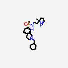 C=S(=O)(NCC[C@]1(C)CCCN1C)c1ccc2c(c1)CN(CC1CCCCC1)CC2